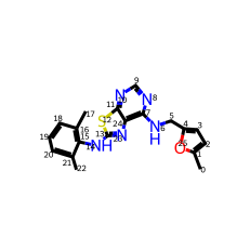 Cc1ccc(CNc2ncnc3sc(Nc4c(C)cccc4C)nc23)o1